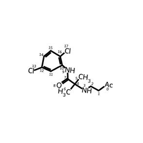 CC(=O)CCNC(C)(C)C(=O)Nc1cc(Cl)ccc1Cl